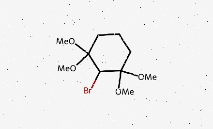 COC1(OC)CCCC(OC)(OC)C1Br